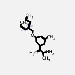 C=C/C=C(\C=C/C)COC1C=C(C)CC(C(=C)C(C)N)C1